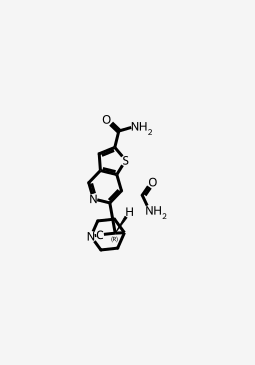 NC(=O)c1cc2cnc([C@H]3CN4CCC3CC4)cc2s1.NC=O